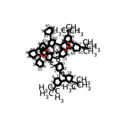 CC(C)(C)c1ccc2c(c1)c1cc(C(C)(C)C)ccc1n2-c1ccc2c(c1)Sc1cc(C3(c4ccccc4)c4ccccc4-c4ccccc43)cc3c1B2c1ccc(-n2c4ccc(C(C)(C)C)cc4c4cc(C(C)(C)C)ccc42)cc1N3c1c(-c2ccccc2)cc(-c2ccccc2)cc1-c1ccccc1